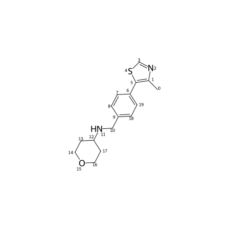 Cc1ncsc1-c1ccc(CNC2CCOCC2)cc1